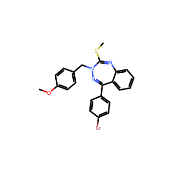 COc1ccc(CN2N=C(c3ccc(Br)cc3)c3ccccc3N=C2SC)cc1